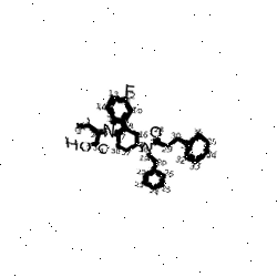 CCC(C(=O)O)n1c2c(c3cc(F)ccc31)C[C@@H](N(CCc1ccccc1)C(=O)CCc1ccccc1)CC2